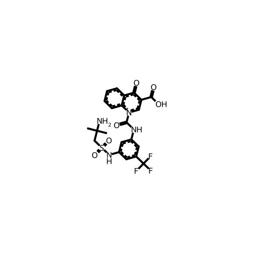 CC(C)(N)CS(=O)(=O)Nc1cc(NC(=O)n2cc(C(=O)O)c(=O)c3ccccc32)cc(C(F)(F)F)c1